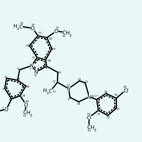 COc1ccc(Cn2nc(CC(C)N3CCN(c4cc(Cl)ccc4OC)CC3)c3cc(OC)c(OC)cc32)cc1OC